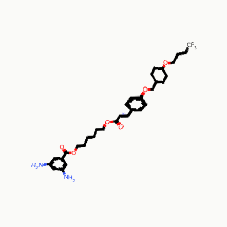 Nc1cc(N)cc(C(=O)OCCCCCCOC(=O)/C=C/c2ccc(OCC3CCC(OCCCC(F)(F)F)CC3)cc2)c1